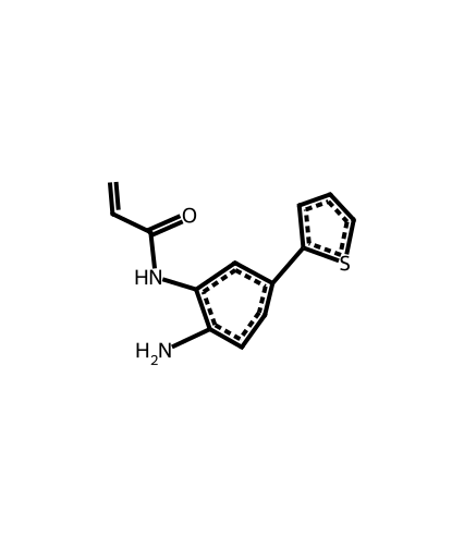 C=CC(=O)Nc1cc(-c2cccs2)ccc1N